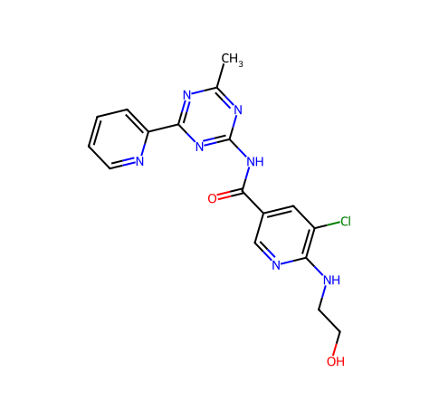 Cc1nc(NC(=O)c2cnc(NCCO)c(Cl)c2)nc(-c2ccccn2)n1